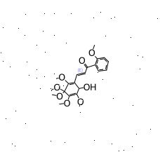 COC1=C(OC)C(OC)(OC)C(OC)=C(/C=C/C(=O)c2ccccc2OC)C1O